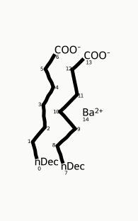 CCCCCCCCCCCCCCCC(=O)[O-].CCCCCCCCCCCCCCCC(=O)[O-].[Ba+2]